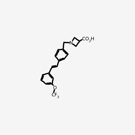 O=C(O)C1CN(Cc2ccc(/C=C/c3cccc(OC(F)(F)F)c3)cc2)C1